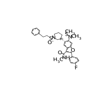 CNC(=O)c1c(-c2ccc(F)cc2)oc2cc(N(C)SC)c([C@H]3CCCN([S+]([O-])CCc4ccccc4)C3)cc12